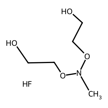 CN(OCCO)OCCO.F